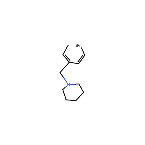 C/C=C(\C=C/C(C)C)CN1CCCCC1